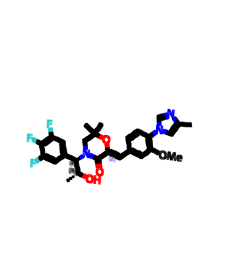 COc1cc(/C=C2\OC(C)(C)CN([C@H](c3cc(F)c(F)c(F)c3)[C@@H](C)O)C2=O)ccc1-n1cnc(C)c1